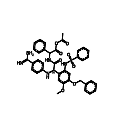 COc1cc([C@@H](Nc2ccc(C(=N)N)cc2)C(=O)NC(C(=O)OC(C)=O)c2ccccc2)c(NS(=O)(=O)c2ccccc2)cc1OCc1ccccc1